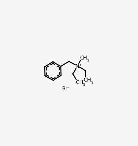 CC[N+](C)(CC)Cc1ccccc1.[Br-]